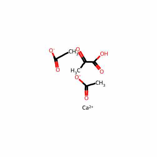 CC(=O)C(=O)O.CC(=O)[O-].CC(=O)[O-].[Ca+2]